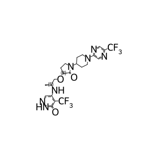 C[C@@H](CO[C@@H]1CCN(C2CCN(c3cnc(C(F)(F)F)cn3)CC2)C1=O)Nc1cn[nH]c(=O)c1C(F)(F)F